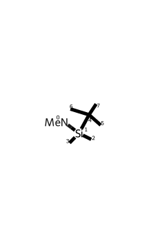 CN[Si](C)(C)C(C)(C)C